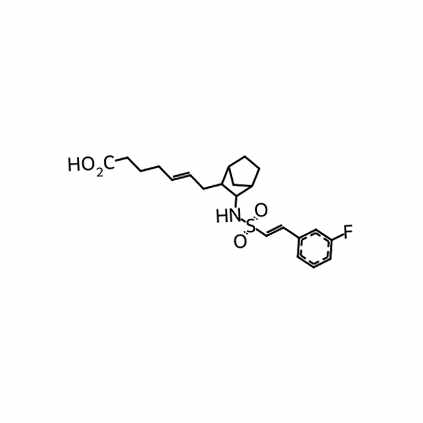 O=C(O)CCCC=CCC1C2CCC(C2)C1NS(=O)(=O)C=Cc1cccc(F)c1